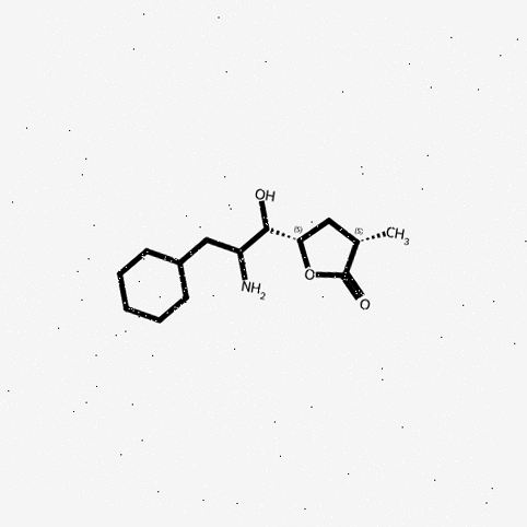 C[C@H]1C[C@@H](C(O)C(N)CC2CCCCC2)OC1=O